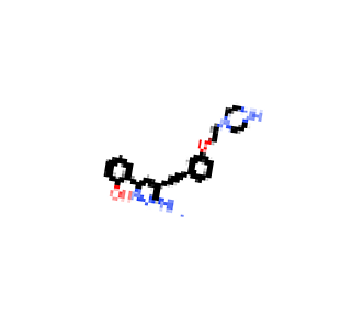 Nc1nnc(-c2ccccc2O)cc1C#Cc1cccc(OCCN2CCNCC2)c1